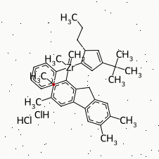 Cl.Cl.[CH2]=[Zr]([CH3])([C]1=CC(C(C)(C)C)=CC1CCC)([c]1ccccc1)[c]1c(C)c(C)cc2c1Cc1cc(C)c(C)cc1-2